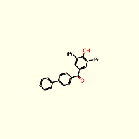 CC(C)c1cc(C(=O)c2ccc(-c3ccccc3)cc2)cc(C(C)C)c1O